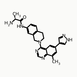 Cc1cc(-c2cn[nH]c2)cc2c(N3CCc4ccc(NC(=O)[C@H](C)N)cc4C3)ncnc12